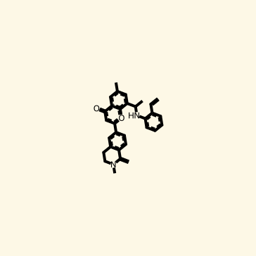 C=Cc1ccccc1NC(C)c1cc(C)cc2c(=O)cc(-c3ccc4c(c3)CCN(C)C4=C)oc12